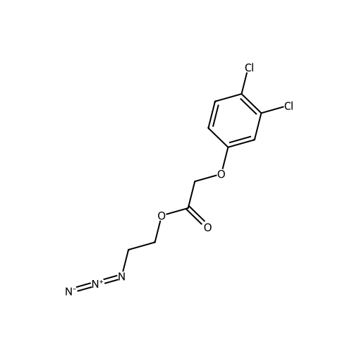 [N-]=[N+]=NCCOC(=O)COc1ccc(Cl)c(Cl)c1